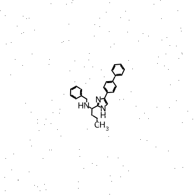 CCCC(NCc1ccccc1)c1nc(-c2ccc(-c3ccccc3)cc2)c[nH]1